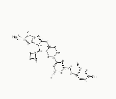 O=C(O)c1cc2c(nc(CN3CC=C(c4cc(F)cc(OCc5ccc(Cl)cc5F)n4)CC3)n2C[C@@H]2CCO2)s1